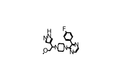 COCC(c1cn[nH]c1)N1CCN(c2nccnc2-c2ccc(F)cc2)CC1